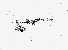 CCCCCCCCCCCCCCOc1ccc(C(=O)OCCOC(=O)CCCC=CC[C@@H]2[C@@H](C=CC[C@H](O)C3(CC)CCC3)[C@H](O)C[C@H]2Cl)cc1